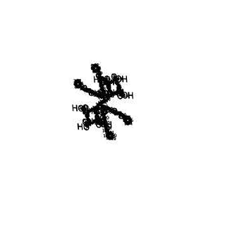 O=C(O)CN1CCN(CC(=O)O)CCN(CC(O)CN(CCN(CC(O)CN2CCN(CC(=O)O)CCN(C(=O)O)CCN(CC(=O)O)CC2)C(COCCOCCOCc2ccccc2)COCCOCCOCc2ccccc2)C(COCCOCCOCc2ccccc2)COCCOCCOCc2ccccc2)CCN(CC(=O)O)CC1